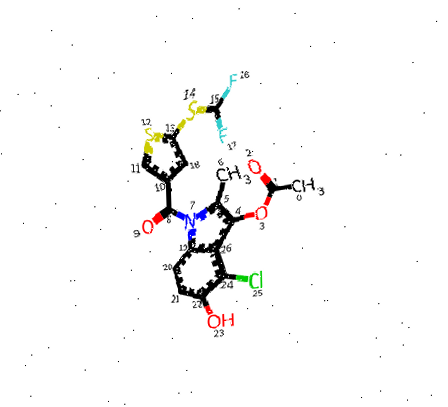 CC(=O)Oc1c(C)n(C(=O)c2csc(SC(F)F)c2)c2ccc(O)c(Cl)c12